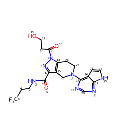 O=C(NCCC(F)(F)F)c1nn(C(=O)CCO)c2c1CN(c1ncnc3[nH]ccc13)CC2